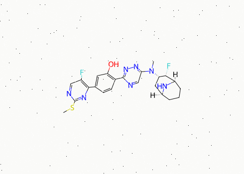 CSc1ncc(F)c(-c2ccc(-c3ncc(N(C)[C@H]4C[C@@H]5CCC[C@@H](N5)[C@H]4F)nn3)c(O)c2)n1